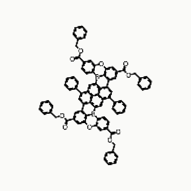 O=C(OCc1ccccc1)c1ccc2c(c1)Oc1cc(C(=O)OCc3ccccc3)cc3c1B2c1cc2c(-c4ccccc4)cc4c5c(cc6c(-c7ccccc7)cc-3c1c6c25)B1c2ccc(C(=O)OCc3ccccc3)cc2Oc2cc(C(=O)OCc3ccccc3)cc-4c21